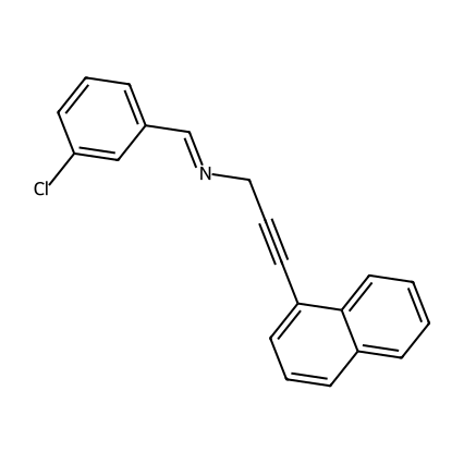 Clc1cccc(C=NCC#Cc2cccc3ccccc23)c1